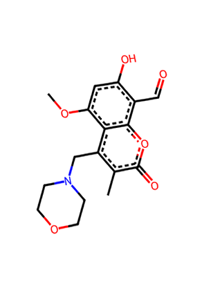 COc1cc(O)c(C=O)c2oc(=O)c(C)c(CN3CCOCC3)c12